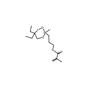 C=C(C)C(=O)OCCC[Si]1(C)OCC(CC)(CC)CO1